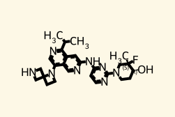 CC(C)c1ncc(N2CCC23CNC3)c2cnc(Nc3ccnc(N4CC[C@@H](O)[C@@](C)(F)C4)n3)cc12